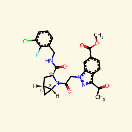 COC(=O)c1ccc2c(C(C)=O)nn(CC(=O)N3[C@@H]4C[C@@H]4C[C@H]3C(=O)NCc3cccc(Cl)c3F)c2c1